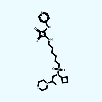 CC(CN(C1CCC1)S(=O)(=O)CCCCCCNc1c(Nc2ccncc2)c(=O)c1=O)N1CCOCC1